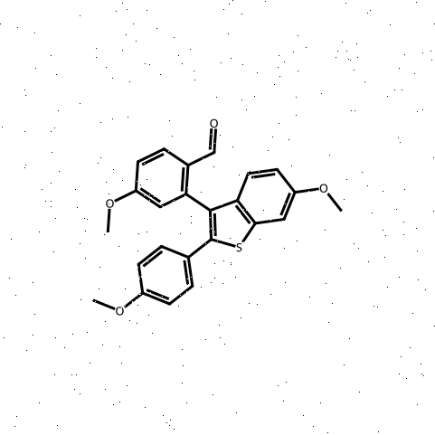 COc1ccc(-c2sc3cc(OC)ccc3c2-c2cc(OC)ccc2C=O)cc1